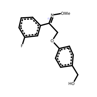 CO/N=C(\COc1ccc(CO)cc1)c1cccc(F)c1